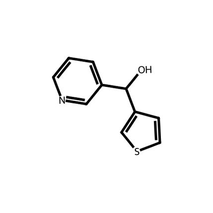 OC(c1cccnc1)c1ccsc1